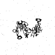 CC(C)[C@H](NC(=O)CC[C@H](NC(=O)OC(C)(C)C)C(=O)N[C@H](C(=O)N[C@@H](C)C(=O)OCc1ccccc1)C(C)C)C(=O)N[C@@H](C)C(=O)OCc1ccccc1